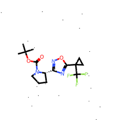 CC(C)(C)OC(=O)N1CCC[C@H]1c1noc(C2(C(F)(F)F)CC2)n1